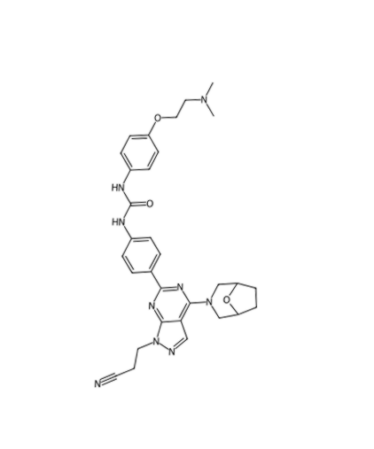 CN(C)CCOc1ccc(NC(=O)Nc2ccc(-c3nc(N4CC5CCC(C4)O5)c4cnn(CCC#N)c4n3)cc2)cc1